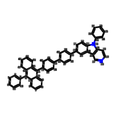 c1ccc(-c2c3ccccc3c(-c3ccc(-c4ccc(-c5ccc6c(c5)c5cnccc5n6-c5ccccc5)cc4)cc3)c3ccccc23)cc1